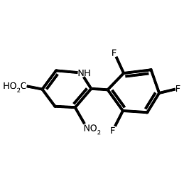 O=C(O)C1=CNC(c2c(F)cc(F)cc2F)=C([N+](=O)[O-])C1